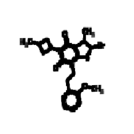 COc1ccccc1CCn1c2c(c(=O)n(C3CC(C)C3)c1=O)C(C)C(Br)S2